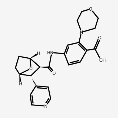 O=C(O)c1ccc(NC(=O)[C@H]2[C@H](c3ccncc3)[C@@H]3CC[C@H]2O3)cc1N1CCOCC1